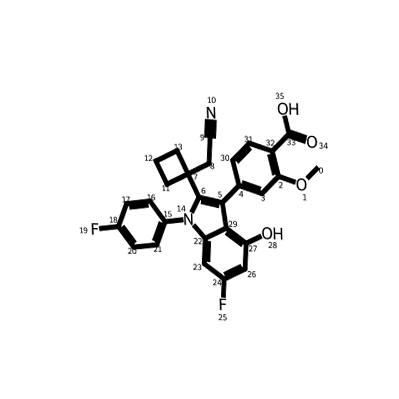 COc1cc(-c2c(C3(CC#N)CCC3)n(-c3ccc(F)cc3)c3cc(F)cc(O)c23)ccc1C(=O)O